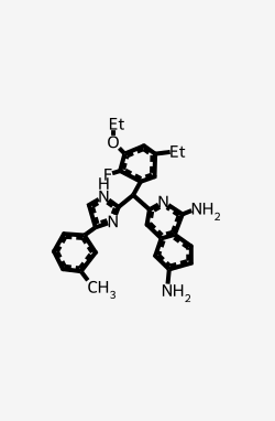 CCOc1cc(CC)cc(C(c2cc3cc(N)ccc3c(N)n2)c2nc(-c3cccc(C)c3)c[nH]2)c1F